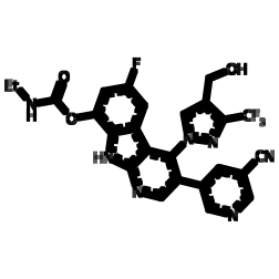 CCNC(=O)Oc1cc(F)cc2c1[nH]c1ncc(-c3cncc(C#N)c3)c(-n3cc(CO)c(C(F)(F)F)n3)c12